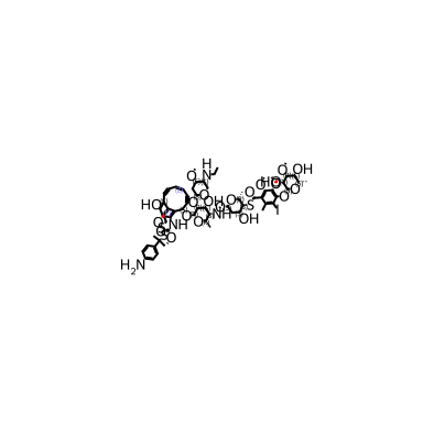 CCN[C@H]1CO[C@@H](O[C@H]2[C@H](O[C@H]3C#C/C=C\C#C[C@]4(O)CC(=O)C(NC(=O)OC)=C3/C4=C\CSSC(C)(C)c3ccc(N)cc3)O[C@H](C)[C@@H](NO[C@H]3C[C@H](O)[C@H](SC(=O)c4c(C)c(I)c(O[C@@H]5O[C@@H](C)[C@H](O)[C@@H](OC)[C@H]5O)c(OC)c4OC)[C@@H](C)O3)[C@@H]2O)C[C@@H]1OC